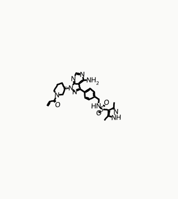 C=CC(=O)N1CCC[C@@H](n2nc(-c3ccc(CNS(=O)(=O)c4c(C)n[nH]c4C)cc3)c3c(N)ncnc32)C1